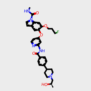 CNC(=O)n1ccc2cc(Oc3ccnc(NC(=O)c4ccc(C5CCN(C[C@@H](C)O)CC5)cc4)c3)c(OCCCF)cc21